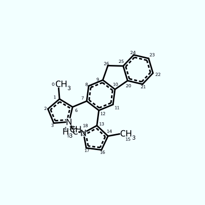 Cc1ccn(C)c1-c1[c]c2c(cc1-c1c(C)ccn1C)-c1ccccc1C2